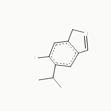 CC(C)c1cc2c(cc1F)CN=C2